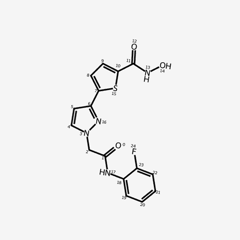 O=C(Cn1ccc(-c2ccc(C(=O)NO)s2)n1)Nc1ccccc1F